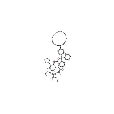 CN(C)C(=O)[C@H](CC(=O)OC(c1ccccc1)(c1ccc(C2/C=C\CCCCCCCCCCC2)cc1)c1ccccc1Cl)N(C)C(=O)[C@H](C1CCCC1)N(C)C(=O)C1(NC(=O)CI)CCCC1